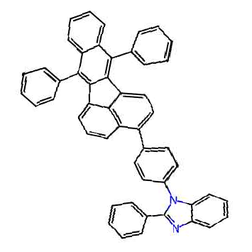 c1ccc(-c2c3c(c(-c4ccccc4)c4ccccc24)-c2ccc(-c4ccc(-n5c(-c6ccccc6)nc6ccccc65)cc4)c4cccc-3c24)cc1